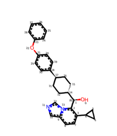 O[C@@H](c1c(C2CC2)ccc2cncn12)[C@H]1CC[C@H](c2ccc(Oc3ccccc3)cc2)CC1